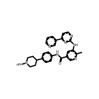 CCCN1CCC(c2ccc(NC(=O)c3cnc(C)c(Nc4nccc(-c5cccnc5)n4)c3)cc2)CC1